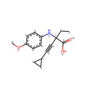 CCC(C#CC1CC1)(Nc1ccc(OC)cc1)C(=O)O